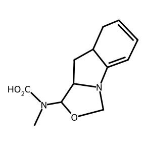 CN(C(=O)O)C1OCN2C3=CC=CCC3CC12